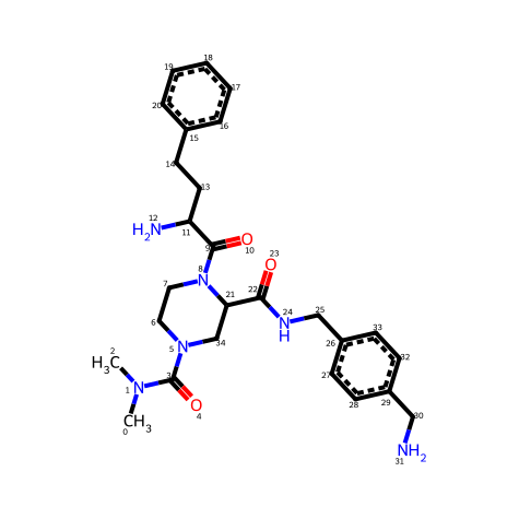 CN(C)C(=O)N1CCN(C(=O)C(N)CCc2ccccc2)C(C(=O)NCc2ccc(CN)cc2)C1